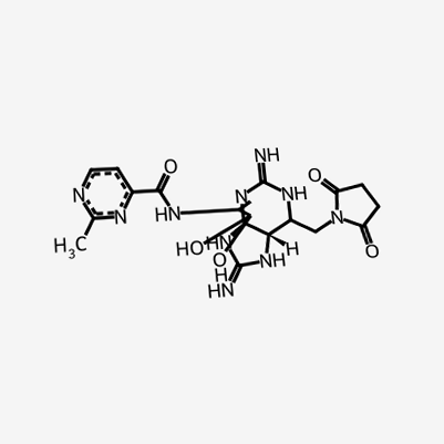 Cc1nccc(C(=O)NC2CN3C(=N)NC(CN4C(=O)CCC4=O)[C@@H]4NC(=N)N[C@@]43C2(O)O)n1